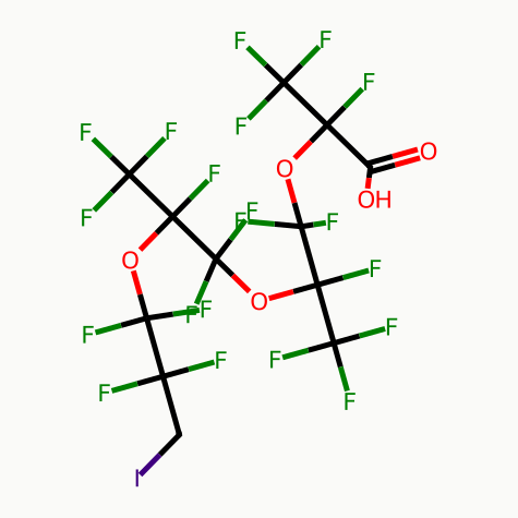 O=C(O)C(F)(OC(F)(F)C(F)(OC(F)(F)C(F)(OC(F)(F)C(F)(F)CI)C(F)(F)F)C(F)(F)F)C(F)(F)F